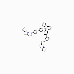 C1=c2ccc3cccnc3c2=NC(c2cccc(-c3ccc(C4(c5ccc(-c6ccc(-c7ccc8ccc9cccnc9c8n7)cc6)cc5)c5ccccc5-c5ccccc54)cc3)c2)C1